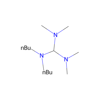 CCCCN(CCCC)C(N(C)C)N(C)C